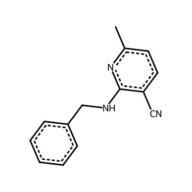 Cc1ccc(C#N)c(NCc2ccccc2)n1